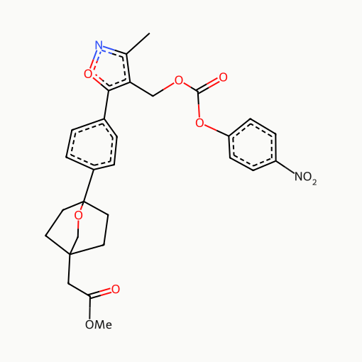 COC(=O)CC12CCC(c3ccc(-c4onc(C)c4COC(=O)Oc4ccc([N+](=O)[O-])cc4)cc3)(CC1)OC2